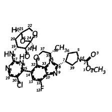 COC(=O)N1CC[C@@H](c2nc3c(F)cc(-c4nc(N[C@@H]5C[C@H]6CO[C@H](O6)[C@H]5O)ncc4Cl)c4c3n2[C@@H](C)CO4)C1